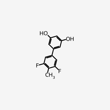 Cc1c(F)cc(-c2cc(O)cc(O)c2)cc1F